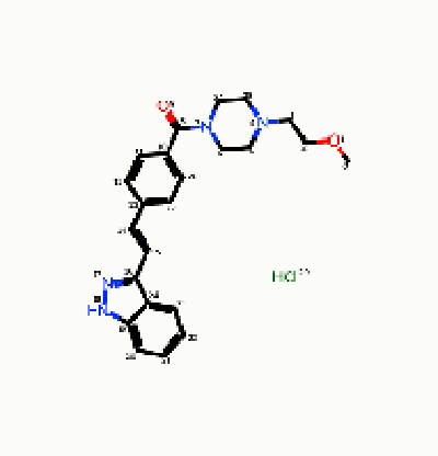 COCCN1CCN(C(=O)c2ccc(/C=C/c3n[nH]c4ccccc34)cc2)CC1.Cl